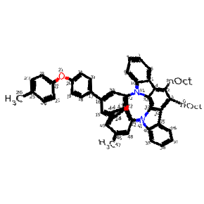 CCCCCCCCc1c(CCCCCCCC)c2c3ccccc3n(-c3cccc(-c4ccc(Oc5ccc(C)cc5)cc4)c3)c2c2c1c1ccccc1n2-c1cccc(C)c1